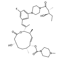 CC[C@@H](O)[C@@H](C)C(=O)N1CCN(c2cc(F)cc(/C=C(\C)[C@H]3OC(=O)C[C@@H](O)CC[C@@H](C)[C@@H](OC(=O)N4CCN(C)CC4)/C=C/[C@@H]3C)c2)CC1